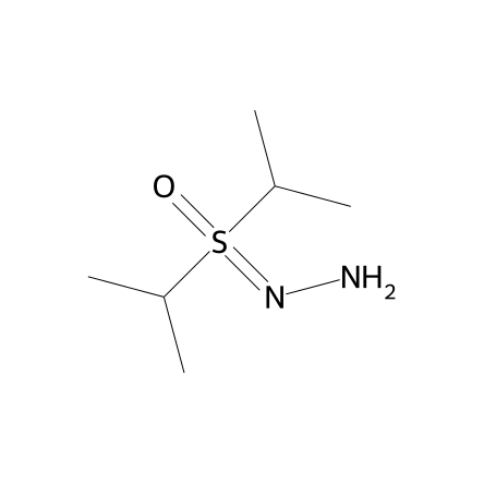 CC(C)S(=O)(=NN)C(C)C